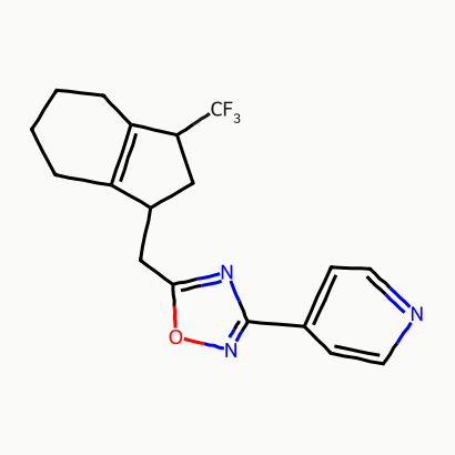 FC(F)(F)C1CC(Cc2nc(-c3ccncc3)no2)C2=C1CCCC2